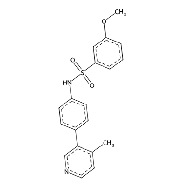 COc1cccc(S(=O)(=O)Nc2ccc(-c3cnccc3C)cc2)c1